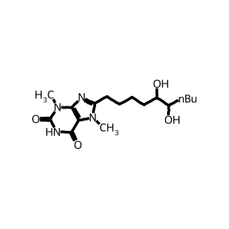 CCCCC(O)C(O)CCCCc1nc2c(c(=O)[nH]c(=O)n2C)n1C